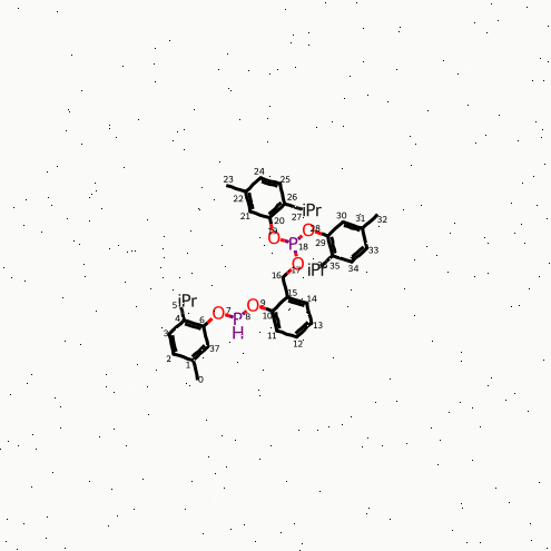 Cc1ccc(C(C)C)c(OPOc2ccccc2COP(Oc2cc(C)ccc2C(C)C)Oc2cc(C)ccc2C(C)C)c1